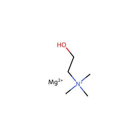 C[N+](C)(C)CCO.[Mg+2]